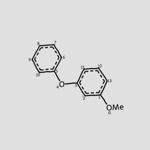 COc1[c]c(Oc2ccccc2)ccc1